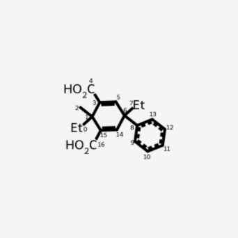 CCC1(C)C(C(=O)O)=CC(CC)(c2ccccc2)C=C1C(=O)O